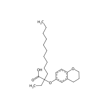 CCCCCCCCCCC(CC)(Oc1ccc2c(c1)CCCO2)C(=O)O